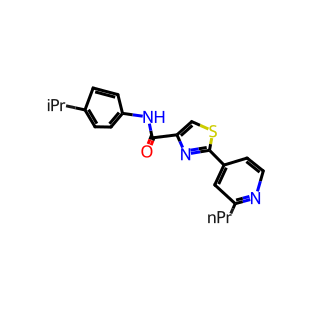 CCCc1cc(-c2nc(C(=O)Nc3ccc(C(C)C)cc3)cs2)ccn1